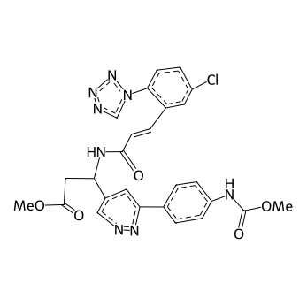 COC(=O)CC(NC(=O)C=Cc1cc(Cl)ccc1-n1cnnn1)c1cnnc(-c2ccc(NC(=O)OC)cc2)c1